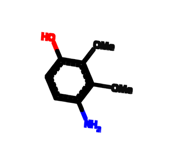 COc1c(N)ccc(O)c1OC